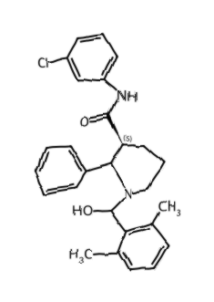 Cc1cccc(C)c1C(O)N1CCC[C@H](C(=O)Nc2cccc(Cl)c2)C1c1ccccc1